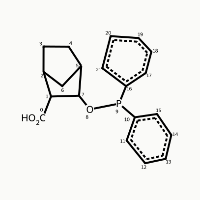 O=C(O)C1C2CCC(C2)C1OP(c1ccccc1)c1ccccc1